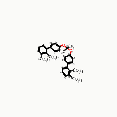 O=C(O)c1cccc(-c2ccc(OC(Oc3ccc(-c4cccc(C(=O)O)c4C(=O)O)cc3)(C(F)(F)F)C(F)(F)F)cc2)c1C(=O)O